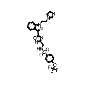 O=S(=O)(NCc1noc(-c2nn(CCn3ccnc3)c3ccccc23)n1)c1ccc(OC(F)(F)F)cc1